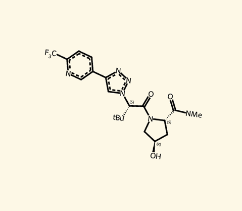 CNC(=O)[C@@H]1C[C@@H](O)CN1C(=O)[C@@H](n1cc(-c2ccc(C(F)(F)F)nc2)nn1)C(C)(C)C